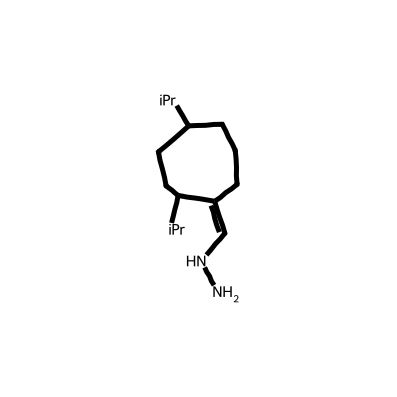 CC(C)C1CCC/C(=C/NN)C(C(C)C)CC1